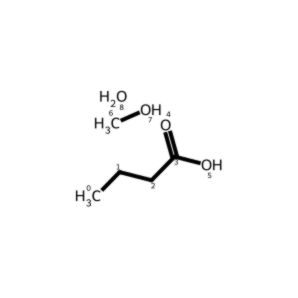 CCCC(=O)O.CO.O